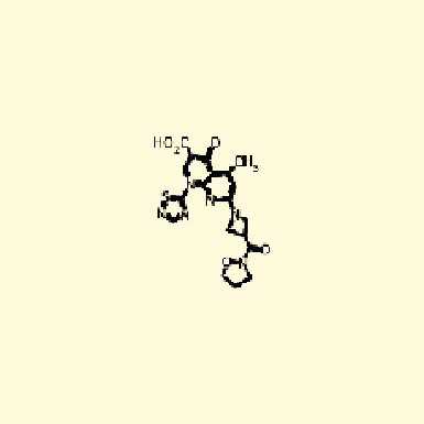 Cc1cc(N2CC(C(=O)N3CCCO3)C2)nc2c1c(=O)c(C(=O)O)cn2-c1ncns1